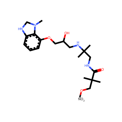 CN1CNc2cccc(OCC(O)CNC(C)(C)CNC(=O)C(C)(C)CO[N+](=O)[O-])c21